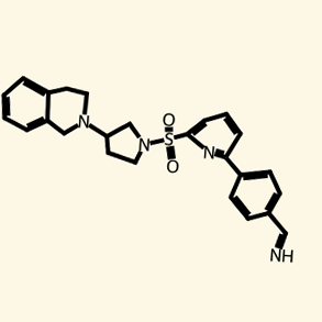 N=Cc1ccc(-c2cccc(S(=O)(=O)N3CCC(N4CCc5ccccc5C4)C3)n2)cc1